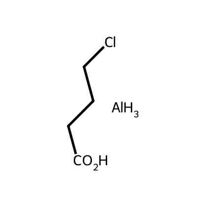 O=C(O)CCCCl.[AlH3]